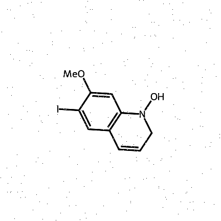 COc1cc2c(cc1I)C=CCN2O